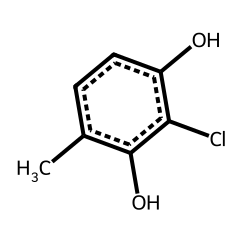 Cc1ccc(O)c(Cl)c1O